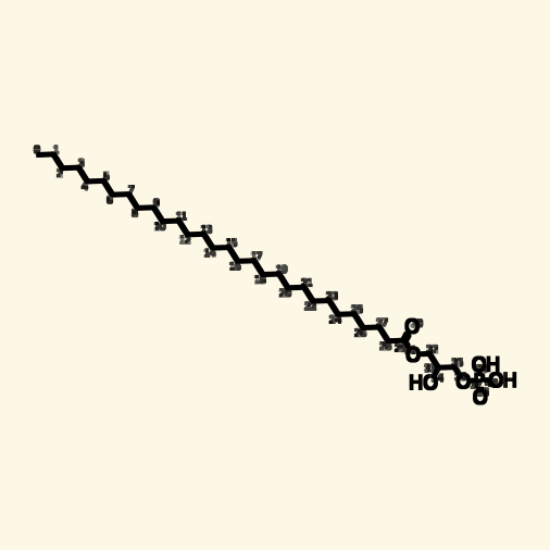 CCCCCCCCCCCCCCCCCCCCCCCCCCCCCC(=O)OCC(O)COP(=O)(O)O